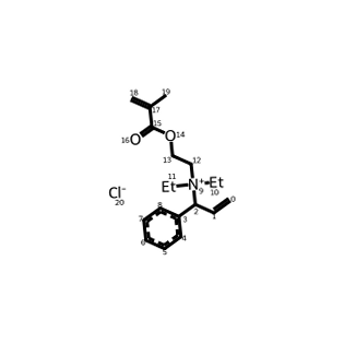 C=CC(c1ccccc1)[N+](CC)(CC)CCOC(=O)C(=C)C.[Cl-]